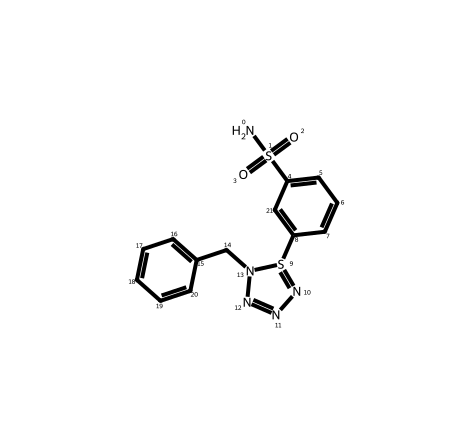 NS(=O)(=O)c1cccc(S2=NN=NN2Cc2ccccc2)c1